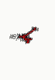 CCC(I)(CC)CC(=O)NCCOCCOCCOCCOCCC(=O)N[C@@H](CC(N)=O)C(=O)N[C@@H](CCN(C(=O)CO)[C@@H](c1cc(-c2cc(F)ccc2F)cn1Cc1ccccc1)C(C)(C)C)C(=O)NCCC(=O)N[C@H](CCC(=O)O)C(=O)O